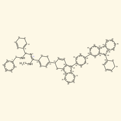 CN/C(=N\C(NCc1ccccc1)C1=CCCC=C1)C1=CC=C(C2C=Cc3c(c4ccccc4n3-c3ccc(-c4ccc5c6ccccc6n(C6=CC=CCC6)c5c4)cc3)C2)CC1